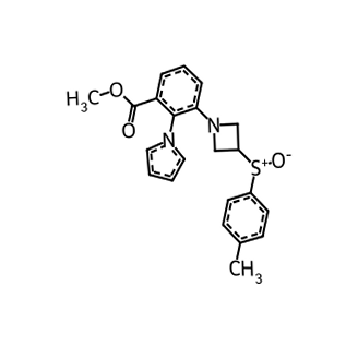 COC(=O)c1cccc(N2CC([S+]([O-])c3ccc(C)cc3)C2)c1-n1cccc1